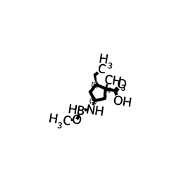 CC[C@@H]1C[C@H](NBOC)C[C@@]1(C)C(=O)O